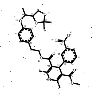 COC(=O)C1=C(C)NC(C)=C(C(=O)OCCc2ccc(OC(C)C3COC(C)(C)O3)cc2)C1c1cccc([N+](=O)[O-])c1